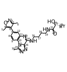 Cc1noc(C)c1-c1ccc2c(c1)nc(NCCCCNC(=O)[C@H](O)C(C)C)c1nnc(C)n12